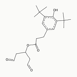 CC(C)(C)c1cc(CCC(=O)OC(CC=O)CC=O)cc(C(C)(C)C)c1O